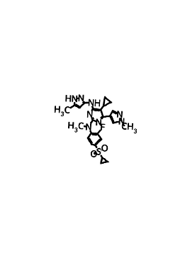 Cc1cc(Nc2nc(N(C)c3ccc(S(=O)(=O)C4CC4)cc3F)nc(-c3cnn(C)c3)c2C2CC2)n[nH]1